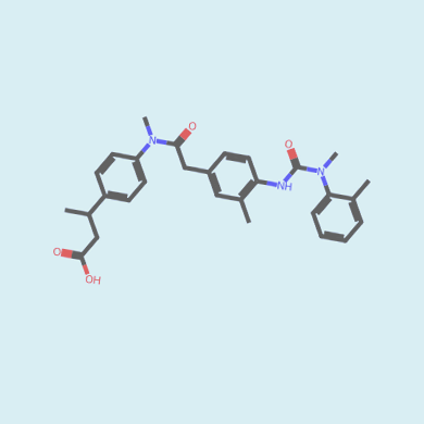 Cc1cc(CC(=O)N(C)c2ccc(C(C)CC(=O)O)cc2)ccc1NC(=O)N(C)c1ccccc1C